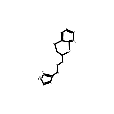 c1cnc2c(c1)CCC(CCCc1cc[nH]n1)N2